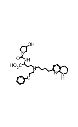 O=C(O)C(CCN(CCCCc1ccc2c(n1)NCCC2)CCOc1ccccc1)NC(=O)N1CCC(O)C1